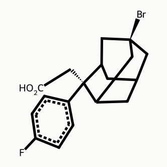 O=C(O)C[C@]1(c2ccc(F)cc2)C2CC3CC1C[C@@](Br)(C3)C2